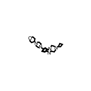 c1cc2nc3n(c2cc1N1CCN(C2CCOCC2)CC1)CCN(C1CCC1)CC3